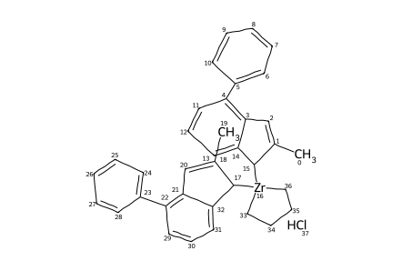 CC1=Cc2c(-c3ccccc3)cccc2[CH]1[Zr]1([CH]2C(C)=Cc3c(-c4ccccc4)cccc32)[CH2]CC[CH2]1.Cl